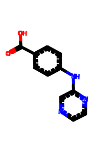 O=C(O)c1ccc(Nc2cnccn2)cc1